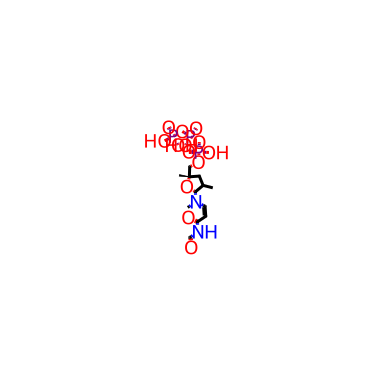 CC1C[C@@](C)(COP(=O)(O)OP(=O)(O)OP(=O)(O)O)OC1N(C)/C=C\C(=O)NC=O